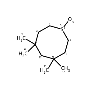 CC1(C)CC[S+]([O-])CCC(C)(C)C1